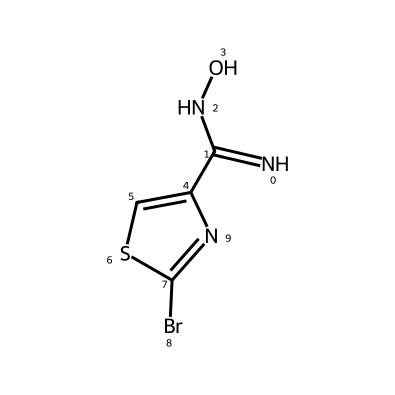 N=C(NO)c1csc(Br)n1